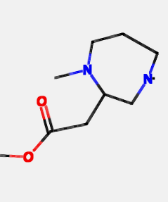 COC(=O)CC1C[N]CCCN1C